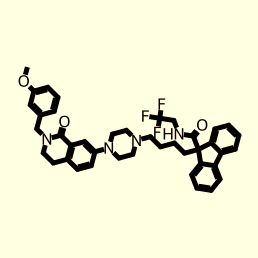 COc1cccc(CN2CCc3ccc(N4CCN(CCCCC5(C(=O)NCC(F)(F)F)c6ccccc6-c6ccccc65)CC4)cc3C2=O)c1